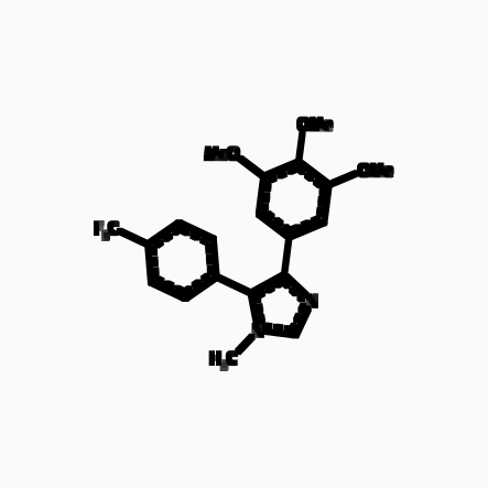 COc1cc(-c2ncn(C)c2-c2ccc(C(F)(F)F)cc2)cc(OC)c1OC